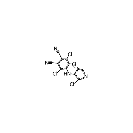 N#Cc1c(Cl)c(Cl)c(Nc2c(Cl)cncc2Cl)c(Cl)c1C#N